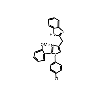 COc1ccccc1-c1nc(Cc2nc3ccccc3[nH]2)cn1-c1ccc(Cl)cc1